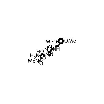 CNC(=O)[C@H]1O[C@@H](n2cnc3c(NCCc4cc(OC)ccc4OC)ncnc32)[C@H](O)[C@@H]1N